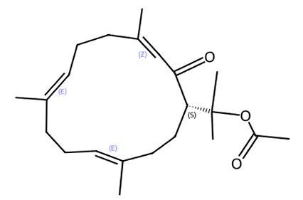 CC(=O)OC(C)(C)[C@@H]1CC/C(C)=C/CC/C(C)=C/CC/C(C)=C\C1=O